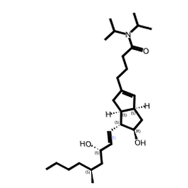 CCCC[C@H](C)C[C@H](O)/C=C/[C@@H]1[C@H]2CC(CCCC(=O)N(C(C)C)C(C)C)=C[C@H]2C[C@H]1O